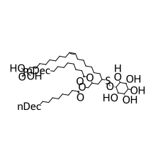 CCCCCCCCCCCCCCCCCC(=O)OCC(CC(CCCCCC/C=C\CCCCCCCCP(=O)(O)O)SO[C@@H]1[C@@H](O)[C@H](O)[C@@H](O)[C@H](O)[C@@H]1O)OC(=O)CCCCCCCCCCCCCCCCC